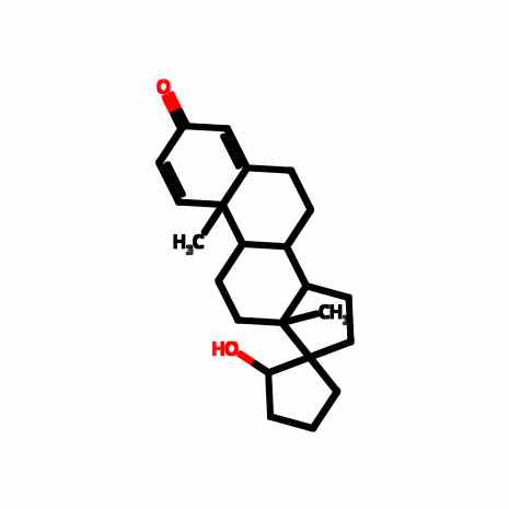 CC12C=CC(=O)C=C1CCC1C2CCC2(C)C1CCC21CCCC1O